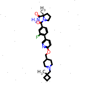 CC1(CN2CCC(COc3ccc(-c4ccc(C(=O)N5CCC[C@@]5(C)C(N)=O)cc4F)cn3)CC2)CCC1